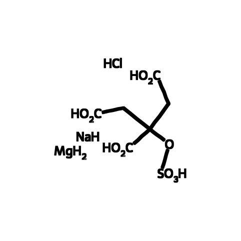 Cl.O=C(O)CC(CC(=O)O)(OS(=O)(=O)O)C(=O)O.[MgH2].[NaH]